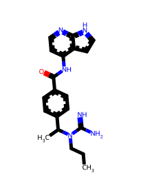 CCCN(C(=N)N)C(C)c1ccc(C(=O)Nc2ccnc3[nH]ccc23)cc1